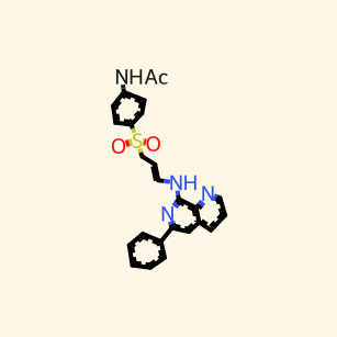 CC(=O)Nc1ccc(S(=O)(=O)CC=CNc2nc(-c3ccccc3)cc3cccnc23)cc1